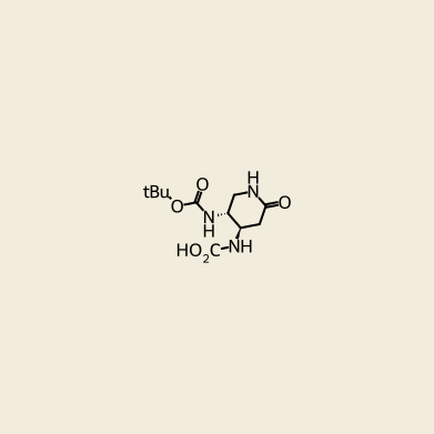 CC(C)(C)OC(=O)N[C@@H]1CNC(=O)C[C@H]1NC(=O)O